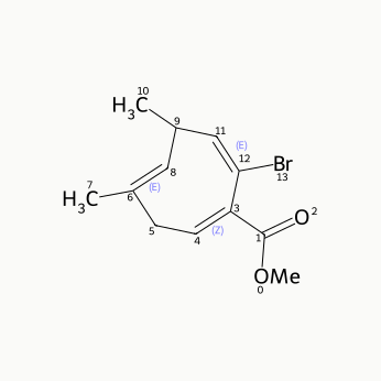 COC(=O)C1=C/C/C(C)=C/C(C)/C=C\1Br